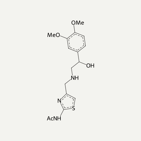 COc1ccc(C(O)CNCc2csc(NC(C)=O)n2)cc1OC